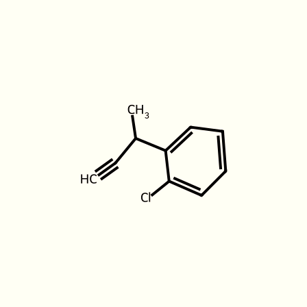 C#CC(C)c1ccccc1Cl